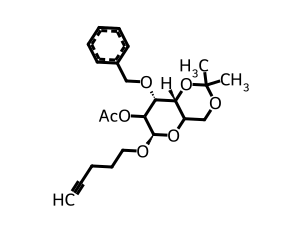 C#CCCCO[C@@H]1OC2COC(C)(C)O[C@H]2[C@@H](OCc2ccccc2)C1OC(C)=O